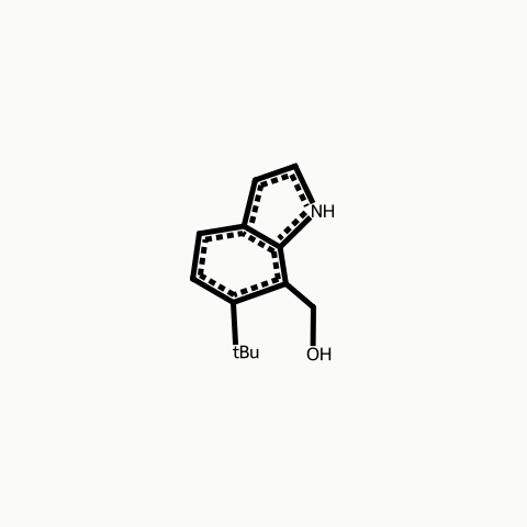 CC(C)(C)c1ccc2cc[nH]c2c1CO